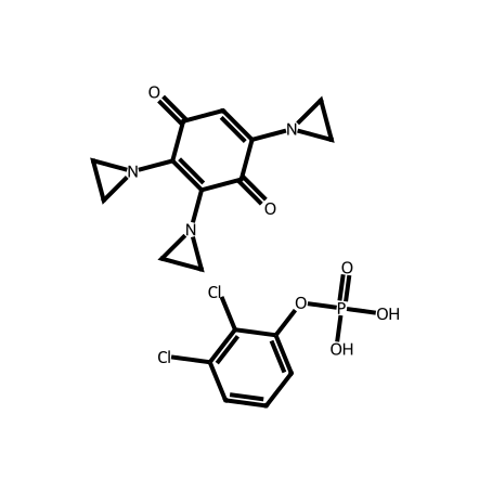 O=C1C=C(N2CC2)C(=O)C(N2CC2)=C1N1CC1.O=P(O)(O)Oc1cccc(Cl)c1Cl